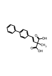 CC(C=Cc1ccc(-c2ccccc2)cc1)(C(=O)O)C(=O)O